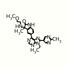 CCn1c(-c2cnc(C)nc2)nc2c(-c3ccc4c(c3)C(C)(NCCOC)C(=O)N4)ncnc21